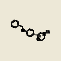 CCN1CCO[C@H](c2ccc(OCc3ccccc3)cc2)C1